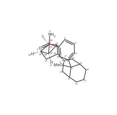 COC1(c2cccc(C(N)=O)c2)C2CCCC1CN(C1C[C@@H]3[C@@H]4C1[C@]34C)C2